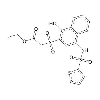 CCOC(=O)CS(=O)(=O)c1cc(NS(=O)(=O)c2cccs2)c2ccccc2c1O